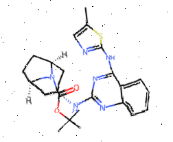 Cc1cnc(Nc2nc(N[C@@H]3C[C@H]4CC[C@@H](C3)N4C(=O)OC(C)(C)C)nc3ccccc23)s1